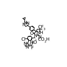 CC(C)(CC1(c2ccc(-c3cnn(C4CC4)n3)cc2)NC(=NC(=O)O)N([C@H](CO)c2ccc(Cl)c(-c3ncnn3C(F)F)c2)C1=O)C(F)(F)F